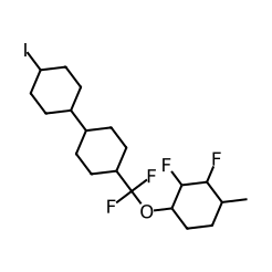 CC1CCC(OC(F)(F)C2CCC(C3CCC(I)CC3)CC2)C(F)C1F